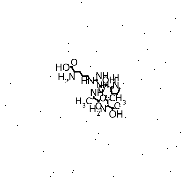 C[C@H](N)C(=O)O[C@H](C)[C@H](N)C(=O)O.N=C(N)NCCC[C@H](N)C(=O)O.O=C(O)[C@@H]1CCCN1